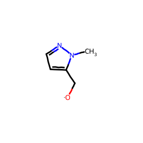 Cn1nccc1C[O]